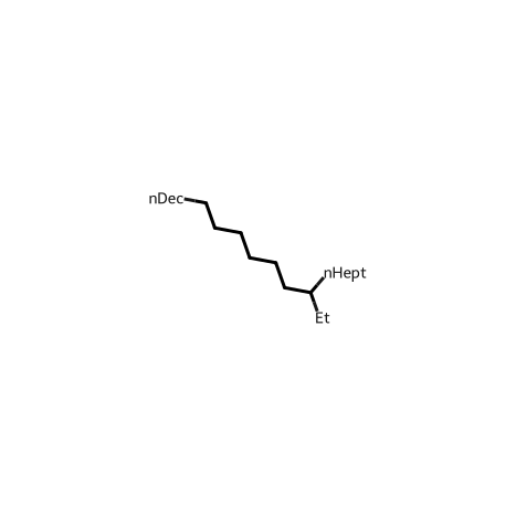 [CH2]CCCCCCCCCCCCCCCC(CC)CCCCCC[CH2]